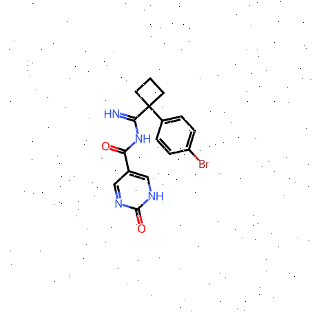 N=C(NC(=O)c1cnc(=O)[nH]c1)C1(c2ccc(Br)cc2)CCC1